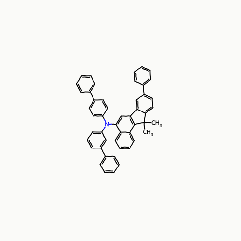 CC1(C)c2ccc(-c3ccccc3)cc2-c2cc(N(c3ccc(-c4ccccc4)cc3)c3cccc(-c4ccccc4)c3)c3ccccc3c21